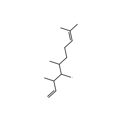 [CH2]C(C(C)C=C)C(C)CCC=C(C)C